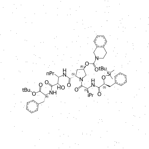 CCCC(NC(=O)[C@@H]1C[C@@H](OC(=O)N2CCc3ccccc3C2)CN1C(=O)[C@@H](NC(=O)[C@H](Cc1ccccc1)O[Si](C)(C)C(C)(C)C)C(C)C)C(O)C(=O)N[C@H](Cc1ccccc1)C(=O)OC(C)(C)C